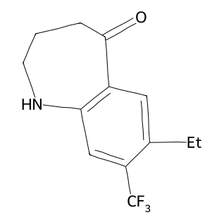 CCc1cc2c(cc1C(F)(F)F)NCCCC2=O